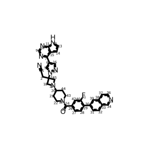 N#CCC1(n2cc(-c3ncnc4[nH]ccc34)cn2)CN(C2CCN(C(=O)c3ccc(-c4ccc5cnccc5c4)c(F)c3)CC2)C1